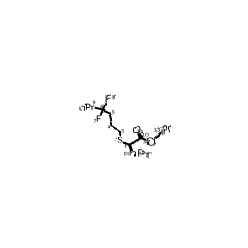 CCCC(SCCCC(F)(F)CCC)C(=O)OC(C)C